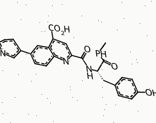 CPC(=O)[C@H](Cc1ccc(O)cc1)NC(=O)c1cc(C(=O)O)c2cc(-c3cccnc3)ccc2n1